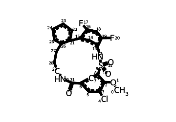 COc1c(Cl)cc2cc1S(=O)(=O)Nc1cc(c(F)cc1F)-c1ccccc1CCCNC2=O